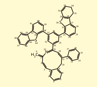 C=C1/C=C\c2ccccc2C/C(c2ccccc2)=C\C(c2cc(-c3cccc4c5c(sc34)C=CCC5)cc(-c3cccc4c3sc3ccccc34)c2)=N/1